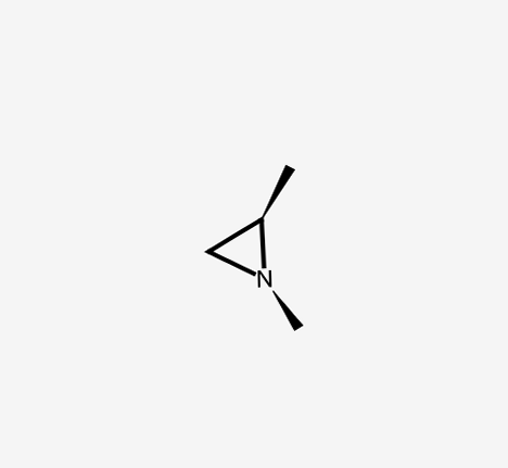 C[C@@H]1C[N@]1C